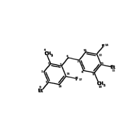 CCc1cc(C)c(Cc2cc(C)c(CC)c(F)c2)c(F)c1